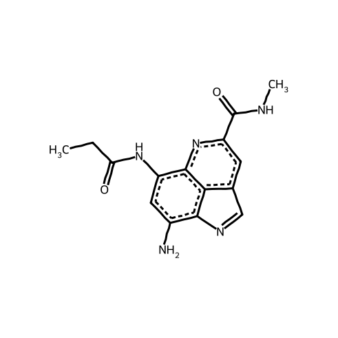 CCC(=O)Nc1cc(N)c2c3c(cc(C(=O)NC)nc13)C=N2